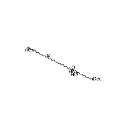 CCCCCCCC/C=C\CCCCCCCCCCCC(=O)CCCCCCCCCCCCCCCC(=O)NC[C@H](O)CCCCCCCCCCCCCCCCCC